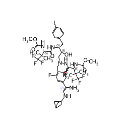 COC(=O)N[C@H](C(=O)N[C@@H](Cc1ccc(I)cc1)[C@@H](O)CN(Cc1c(F)cc(/C(N)=C/NC23CC(C2)C3)cc1F)NC(=O)[C@@H](NC(=O)OC)C(C)(C)C(F)(F)F)C(C)(C)C(F)(F)F